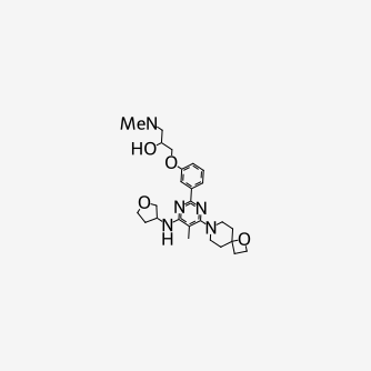 CNCC(O)COc1cccc(-c2nc(NC3CCOC3)c(C)c(N3CCC4(CCO4)CC3)n2)c1